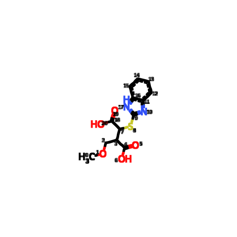 COCC(C(=O)O)C(Sc1nc2ccccc2[nH]1)C(=O)O